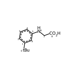 CC(C)(C)c1cccc(NCC(=O)O)c1